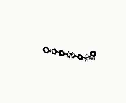 O=C(On1nnc2ccccc21)c1ccc(-c2cn3nc(-c4ccc(C5=CCN(C6CCCCC6)CC5)cc4)sc3n2)cc1